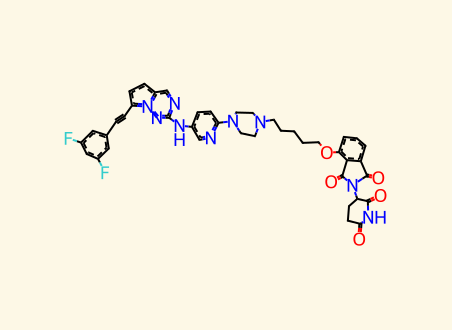 O=C1CCC(N2C(=O)c3cccc(OCCCCCN4CCN(c5ccc(Nc6ncc7ccc(C#Cc8cc(F)cc(F)c8)n7n6)cn5)CC4)c3C2=O)C(=O)N1